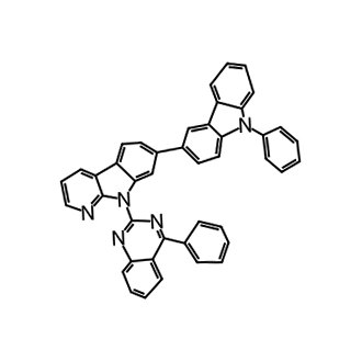 c1ccc(-c2nc(-n3c4cc(-c5ccc6c(c5)c5ccccc5n6-c5ccccc5)ccc4c4cccnc43)nc3ccccc23)cc1